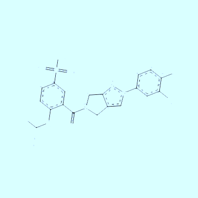 Cc1cc(-n2cc3c(n2)CN(C(=O)c2cc(S(C)(=O)=O)ccc2O[C@@H](C)C(F)(F)F)C3)ccc1F